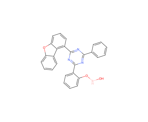 OBOc1ccccc1-c1nc(-c2ccccc2)nc(-c2cccc3oc4ccccc4c23)n1